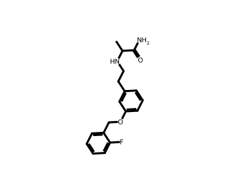 CC(NCCc1cccc(OCc2ccccc2F)c1)C(N)=O